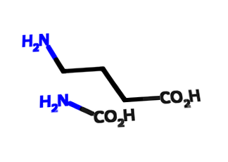 NC(=O)O.NCCCC(=O)O